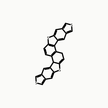 C1=C2Sc3cc4cscc4cc3C2c2ccc3sc4cc5cscc5cc4c3c2C1